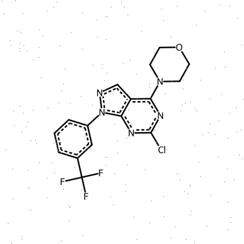 FC(F)(F)c1cccc(-n2ncc3c(N4CCOCC4)nc(Cl)nc32)c1